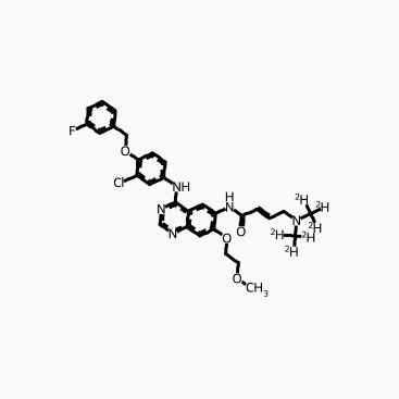 [2H]C([2H])([2H])N(C/C=C/C(=O)Nc1cc2c(Nc3ccc(OCc4cccc(F)c4)c(Cl)c3)ncnc2cc1OCCOC)C([2H])([2H])[2H]